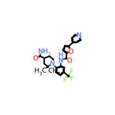 CC1(C)CC(C(N)=O)CCN1c1ccc(C(F)(F)F)cc1NC(=O)c1ccc(-c2ccncc2)o1